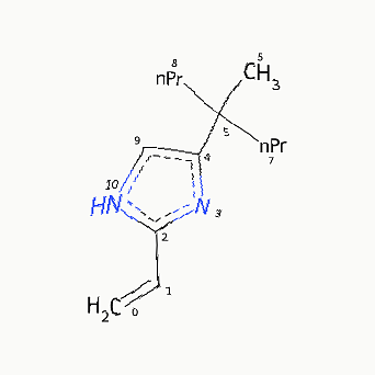 C=Cc1nc(C(C)(CCC)CCC)c[nH]1